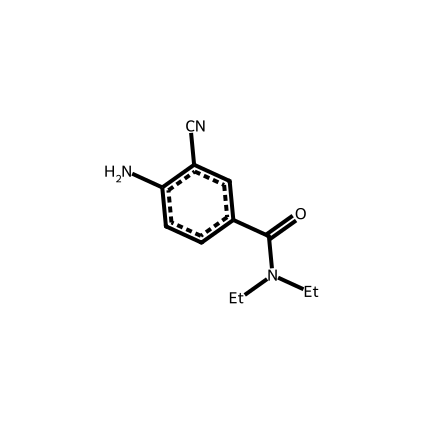 CCN(CC)C(=O)c1ccc(N)c(C#N)c1